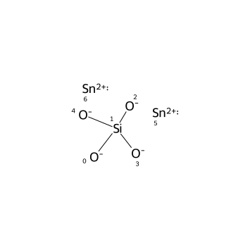 [O-][Si]([O-])([O-])[O-].[Sn+2].[Sn+2]